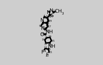 Cc1nnc(-c2cnc3cnc(NC(=O)[C@H]4CC[C@H](NC(CF)CF)CC4)cc3c2)s1